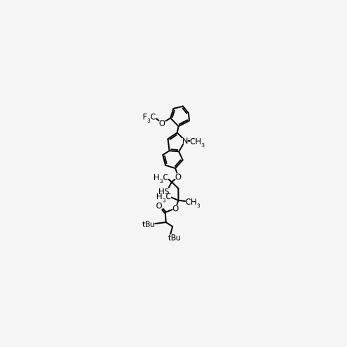 Cn1c(-c2ccccc2OC(F)(F)F)cc2ccc(OC(C)(S)CC(C)(C)OC(=O)C(CC(C)(C)C)C(C)(C)C)cc21